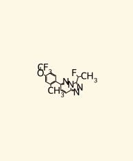 Cc1cc(OC(F)(F)F)ccc1-c1ccc2nnc(C(C)F)n2n1